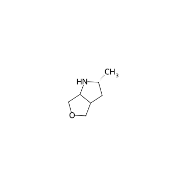 C[C@@H]1CC2COCC2N1